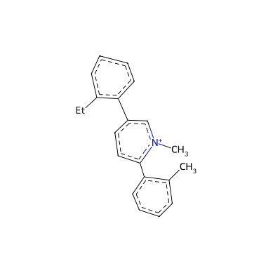 CCc1ccccc1-c1ccc(-c2ccccc2C)[n+](C)c1